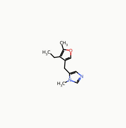 CCc1c(Cc2cncn2C)coc1C